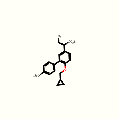 CCOC(=O)C(CC(C)C)c1ccc(OCC2CC2)c(-c2ccc(OC)cc2)c1